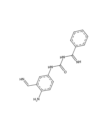 N=Cc1cc(NC(=O)NC(=N)c2ccccc2)ccc1N